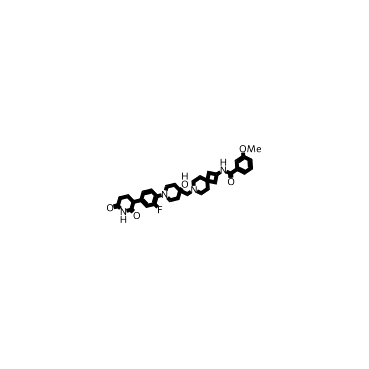 COc1cccc(C(=O)NC2CC3(CCN(CC4(O)CCN(c5ccc(C6CCC(=O)NC6=O)cc5F)CC4)CC3)C2)c1